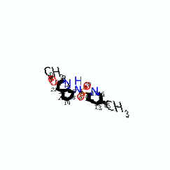 COc1cnc2c(NS(=O)(=O)c3ccc(C)cn3)cccc2c1